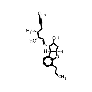 CC#CC[C@@H](C)[C@@H](O)/C=C/[C@H]1[C@@H]2c3cccc(CCC)c3O[C@@H]2C[C@@H]1O